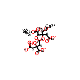 O=C([O-])CC(O)(CC(=O)OC(CC(=O)[O-])(CC(=O)[O-])C(=O)[O-])C(=O)[O-].[Ca+2].[K+].[K+].[K+]